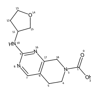 O=C(O)N1CCc2cnc(NC3CCOC3)nc2C1